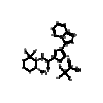 N[C@@H]1CCCC(F)(F)[C@@H]1NC(=O)c1cc(-c2cnc3cccnn23)cs1.O=C(O)C(F)(F)F